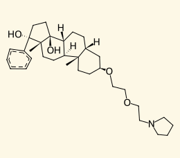 C[C@]12CC[C@H](OCCOCCN3CCCC3)C[C@H]1CC[C@@H]1[C@@H]2CC[C@]2(C)[C@@](O)(c3ccccc3)CC[C@]12O